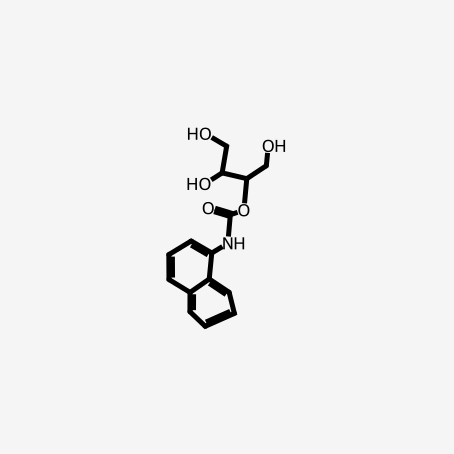 O=C(Nc1cccc2ccccc12)OC(CO)C(O)CO